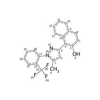 Cc1cc(-c2c(O)ccc3ccccc23)nn1-c1ccccc1C(F)(F)F